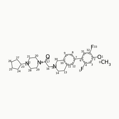 COc1cc(F)c(-c2ccc3c(c2)CCN(CC(=O)N2CCN(C4CCCC4)CC2)C3)cc1F